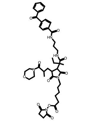 CCC(C)(C(=O)NCCCNC(=O)c1ccc(C(=O)c2ccccc2)cc1)C1C(=O)N(CCCCCC(=O)ON2C(=O)CCC2=O)C(=O)C1CC(C)C(=O)N1CCOCC1